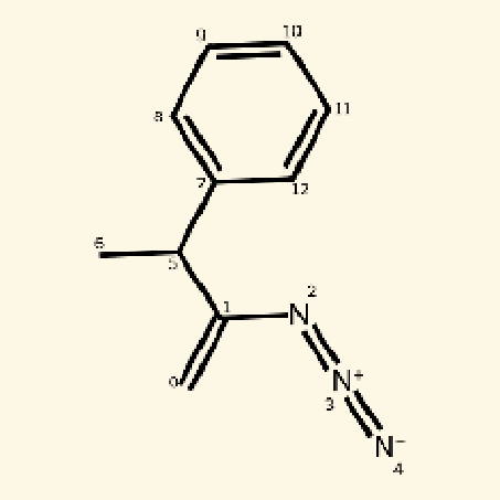 C=C(N=[N+]=[N-])C(C)c1ccccc1